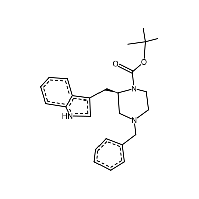 CC(C)(C)OC(=O)N1CCN(Cc2ccccc2)C[C@H]1Cc1c[nH]c2ccccc12